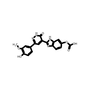 COc1cc(-c2cc(-c3nc4ccc(OC(=O)O)cc4[nH]3)c(=O)[nH]n2)ccc1O